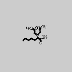 CCCCCC(C(=O)O)N(CC(=O)O)CC(=O)O